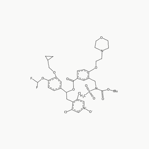 CC(C)(C)OC(=O)N(Cc1cc(C(=O)OC(Cc2c(Cl)c[n+]([O-])cc2Cl)c2ccc(OC(F)F)c(OCC3CC3)c2)ccc1OCCN1CCOCC1)S(C)(=O)=O